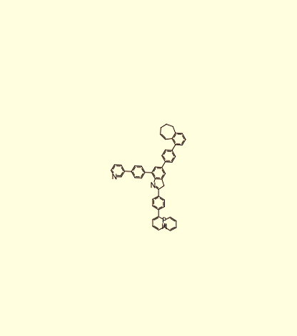 C1=CC2=[PH](C=C1)C(c1ccc(C3=Nc4c(cc(-c5ccc(-c6cccc7c6C=CCCC7)cc5)cc4-c4ccc(-c5cccnc5)cc4)C3)cc1)=CC=C2